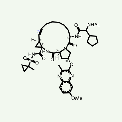 COc1ccc2nc(C)c(O[C@@H]3C[C@H]4C(=O)N[C@]5(C(=O)NS(=O)(=O)C6(C)CC6)C[C@H]5/C=C\CCCCC[C@H](NC(=O)C(NC(C)=O)C5CCCC5)C(=O)N4C3)nc2c1